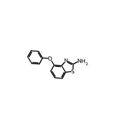 Nc1nc2c(Oc3ccccc3)cccc2s1